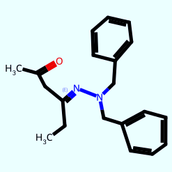 CC/C(CC(C)=O)=N\N(Cc1ccccc1)Cc1ccccc1